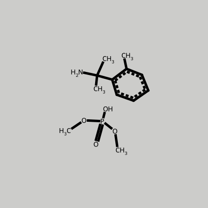 COP(=O)(O)OC.Cc1ccccc1C(C)(C)N